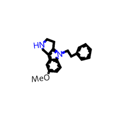 COc1ccc2c(c1)c1c(n2CCc2ccccc2)CCNC1